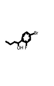 CCCC(O)c1ccc(Br)cc1F